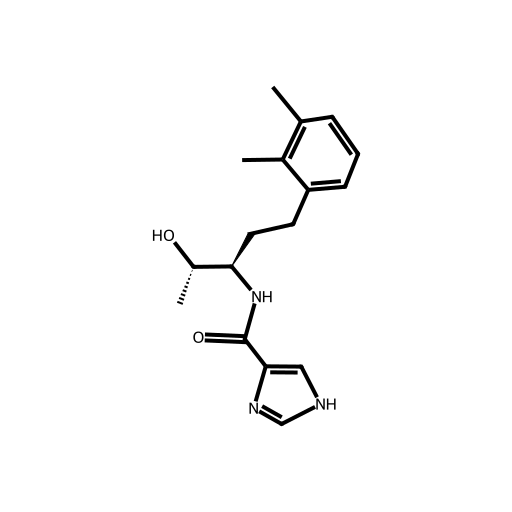 Cc1cccc(CC[C@@H](NC(=O)c2c[nH]cn2)[C@H](C)O)c1C